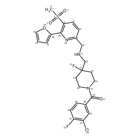 CS(=O)(=O)c1ccc(CNCC2(F)CCN(C(=O)c3ccc(F)c(Cl)c3)CC2)nc1-c1ccco1